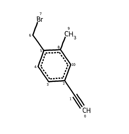 C#Cc1ccc(CBr)c(C)c1